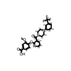 COc1cc(C(=O)O)ccc1Oc1ncccc1C(=O)N1CCN(c2cccc(C(F)(F)F)c2)CC1